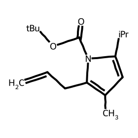 C=CCc1c(C)cc(C(C)C)n1C(=O)OC(C)(C)C